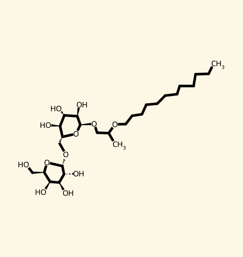 CCCCCCCCCCCCOC(C)CO[C@H]1O[C@H](CO[C@H]2O[C@H](CO)[C@H](O)[C@H](O)[C@H]2O)[C@@H](O)[C@H](O)[C@H]1O